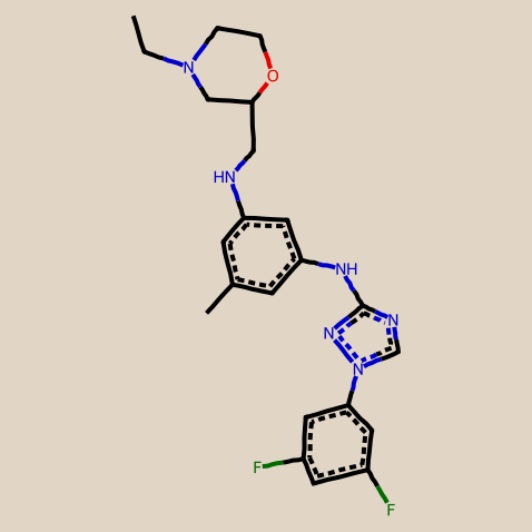 CCN1CCOC(CNc2cc(C)cc(Nc3ncn(-c4cc(F)cc(F)c4)n3)c2)C1